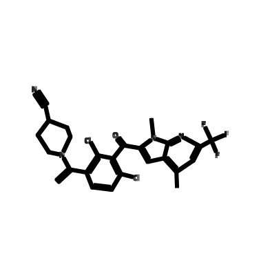 C=C(c1ccc(Cl)c(C(=O)c2cc3c(C)cc(C(F)(F)F)nc3n2C)c1Cl)N1CCC(C#N)CC1